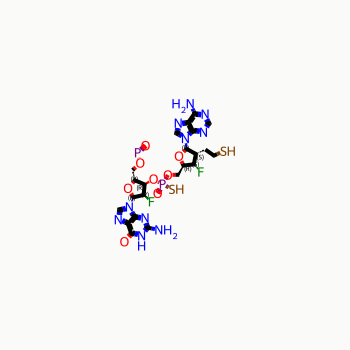 Nc1nc2c(ncn2[C@@H]2O[C@H](COP=O)[C@@H](OP(=O)(S)OC[C@H]3O[C@@H](n4cnc5c(N)ncnc54)[C@H](CCS)[C@@H]3F)[C@H]2F)c(=O)[nH]1